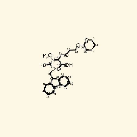 CN(C(=O)OCC1c2ccccc2-c2ccccc21)C(COCCOC1CCCCO1)C(=O)O